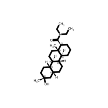 CCN(CC)C(=O)[C@H]1CCC[C@H]2[C@@H]3CC[C@@H]4C[C@](C)(O)CC[C@@H]4[C@H]3CC[C@]12C